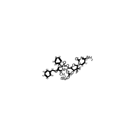 C[C@H](NP(=O)(OCC1OC(n2ccc(N)nc2=O)C(F)(F)C1OC(=O)OC(C)(C)C)Oc1ccccc1)C(=O)OCc1ccccc1